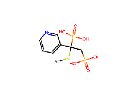 CC(=O)SC(CP(=O)(O)O)(c1cccnc1)P(=O)(O)O